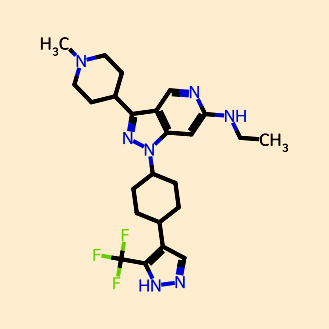 CCNc1cc2c(cn1)c(C1CCN(C)CC1)nn2C1CCC(c2cn[nH]c2C(F)(F)F)CC1